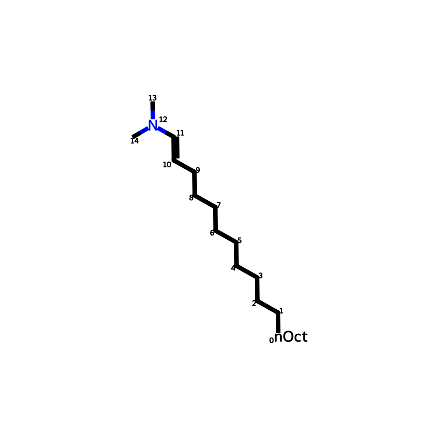 CCCCCCCCCCCCCCCCC/C=C/N(C)C